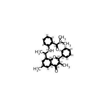 Cc1cc(C(C)Nc2ccccc2C(=O)N(C)C)c2oc(-c3ccccc3)c(C)c(=O)c2c1